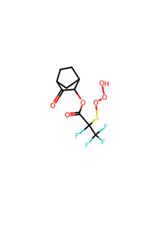 O=C1C2CCC(C2)C1OC(=O)C(F)(SOOO)C(F)(F)F